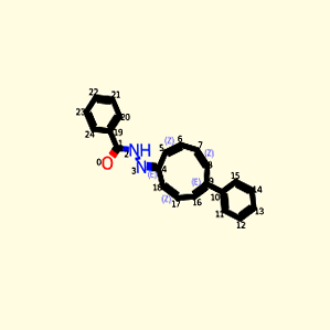 O=C(N/N=C1\C=C/C=C\C(c2ccccc2)=C/C=C\1)c1ccccc1